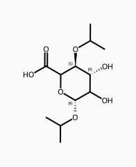 CC(C)O[C@@H]1OC(C(=O)O)[C@@H](OC(C)C)[C@H](O)C1O